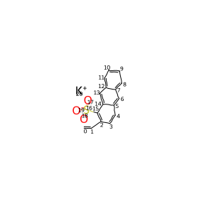 C=Cc1ccc2cc3ccccc3cc2c1S(=O)(=O)[O-].[K+]